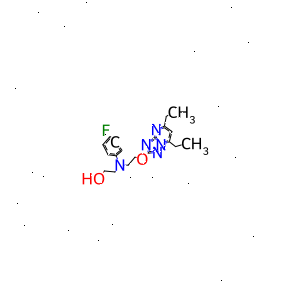 CCc1cc(CC)n2nc(OCCN(CCO)c3ccc(F)cc3)nc2n1